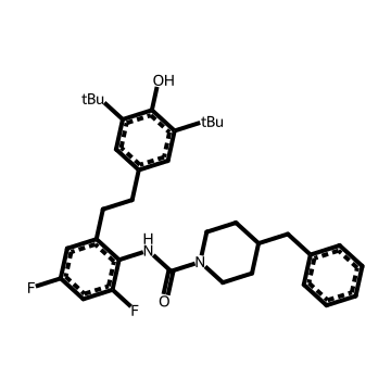 CC(C)(C)c1cc(CCc2cc(F)cc(F)c2NC(=O)N2CCC(Cc3ccccc3)CC2)cc(C(C)(C)C)c1O